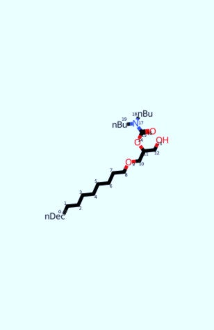 CCCCCCCCCCCCCCCCCCOCC(CO)OC(=O)N(CCCC)CCCC